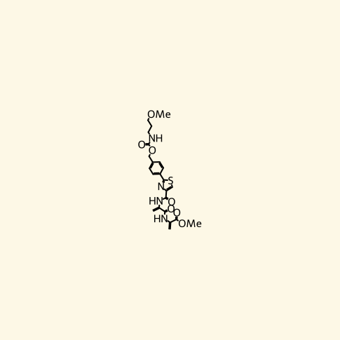 C=C(NC(=O)c1csc(-c2ccc(COC(=O)NCCCOC)cc2)n1)C(=O)NC(=C)C(=O)OC